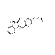 CCc1ccc(/C=C2\C(=O)Nc3ccccc32)cc1